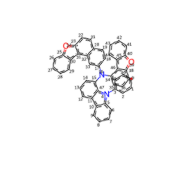 c1ccc(-n2c3ccccc3c3cccc(N(c4ccc5ccc6oc7ccccc7c6c5c4)c4cccc5oc6ccccc6c45)c32)cc1